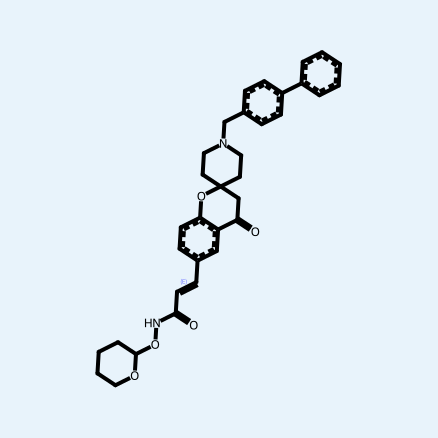 O=C(/C=C/c1ccc2c(c1)C(=O)CC1(CCN(Cc3ccc(-c4ccccc4)cc3)CC1)O2)NOC1CCCCO1